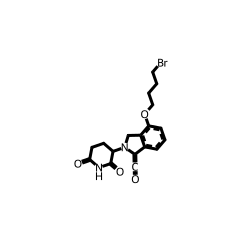 O=C=C1c2cccc(OCCCCBr)c2CN1C1CCC(=O)NC1=O